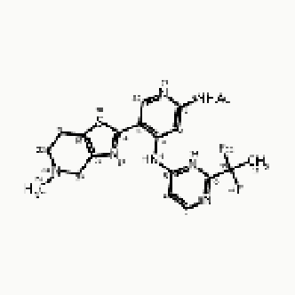 CC(=O)Nc1cc(Nc2ccnc(C(C)(F)F)n2)c(-c2nc3c(s2)CCN(C)C3)cn1